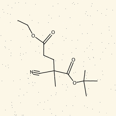 CCOC(=O)CCC(C)(C#N)C(=O)OC(C)(C)C